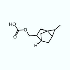 CC1C2C[C@H]3C[C@]12CC3COC(=O)O